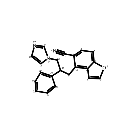 N#Cc1ccc2occc2c1CC(Cn1ccnc1)c1ccccc1